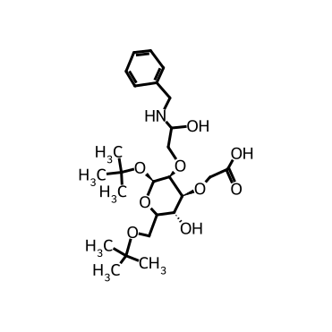 CC(C)(C)OCC1O[C@@H](OC(C)(C)C)[C@@H](OCC(O)NCc2ccccc2)[C@@H](OCC(=O)O)[C@@H]1O